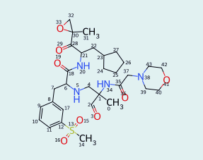 CC(C=O)(CNC(Cc1cccc(S(C)(=O)=O)c1)C(=O)NC(CC1CCCC1)C(=O)C1(C)CO1)NC(=O)CN1CCOCC1